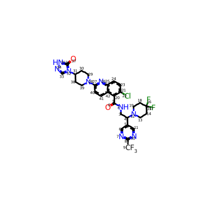 O=C(NCC(c1cnc(C(F)(F)F)nc1)N1CCC(F)(F)CC1)c1c(Cl)ccc2nc(N3CCC(n4cn[nH]c4=O)CC3)ccc12